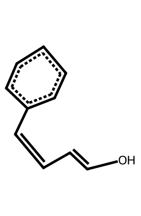 O/C=C/C=C\c1ccccc1